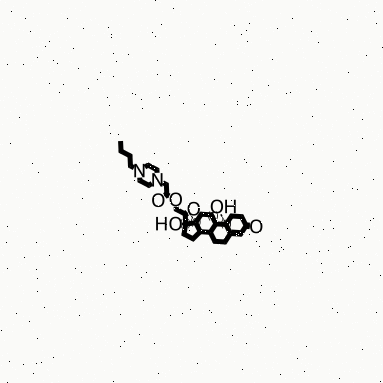 CCCCN1CCN(CC(=O)OCC(=O)[C@@]2(O)CCC3C4CCC5=CC(=O)CC[C@]5(C)C4[C@@H](O)C[C@@]32C)CC1